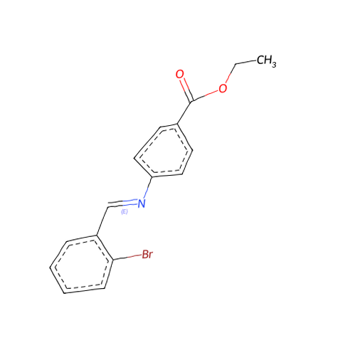 CCOC(=O)c1ccc(/N=C/c2ccccc2Br)cc1